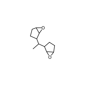 CC(C1CCC2OC21)C1CCC2OC21